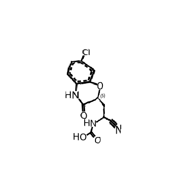 N#CC(C[C@@H]1Oc2cc(Cl)ccc2NC1=O)NC(=O)O